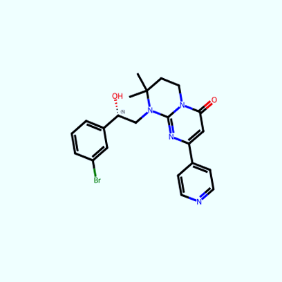 CC1(C)CCn2c(nc(-c3ccncc3)cc2=O)N1C[C@@H](O)c1cccc(Br)c1